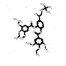 CCOc1c(OC)cc(C(=O)Oc2ccc(C(O)CNC(C)(C)C)cc2OC(=O)c2cc(OC)c(OCC)c(OC)c2)cc1OC.Cl